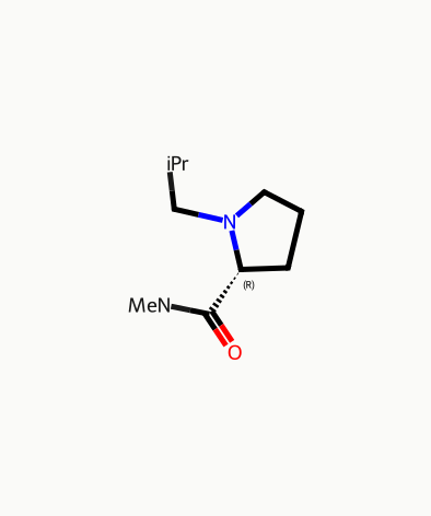 CNC(=O)[C@H]1CCCN1CC(C)C